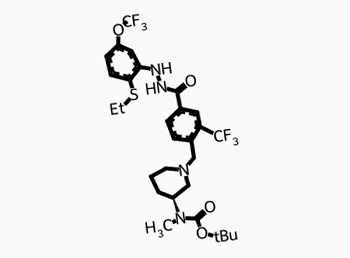 CCSc1ccc(OC(F)(F)F)cc1NNC(=O)c1ccc(CN2CCC[C@H](N(C)C(=O)OC(C)(C)C)C2)c(C(F)(F)F)c1